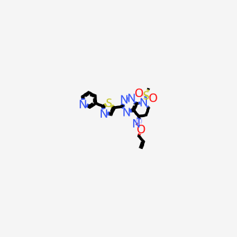 C=CCO/N=C1\CCN(S(C)(=O)=O)c2nnc(-c3cnc(-c4cccnc4)s3)nc21